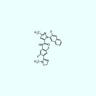 Cc1cc(C(=O)Nc2cc(F)c(C3=NCCN3C)cc2F)n(-c2cc3ccccc3cc2F)n1